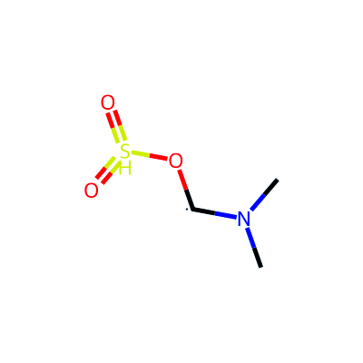 CN(C)[CH]O[SH](=O)=O